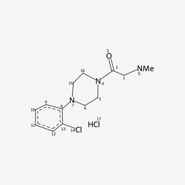 CNCC(=O)N1CCN(c2ccccc2Cl)CC1.Cl